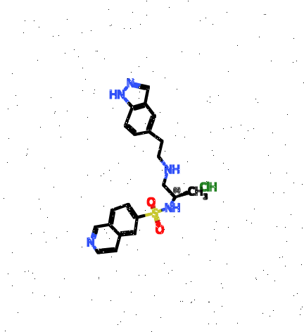 C[C@H](CNCCc1ccc2[nH]ncc2c1)NS(=O)(=O)c1ccc2cnccc2c1.Cl